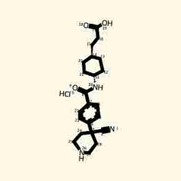 Cl.N#CC1(c2ccc(C(=O)N[C@H]3CC[C@H](CCC(=O)O)CC3)cc2)CCNCC1